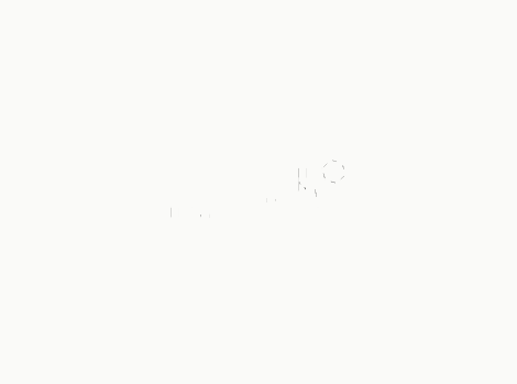 COCCOCCOCCNC(=O)c1ccccc1